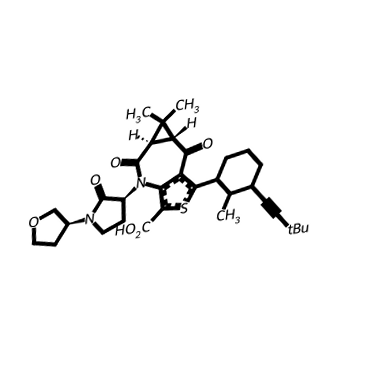 CC1C(C#CC(C)(C)C)CCCC1c1sc(C(=O)O)c2c1C(=O)[C@@H]1[C@@H](C(=O)N2[C@H]2CCN([C@H]3CCOC3)C2=O)C1(C)C